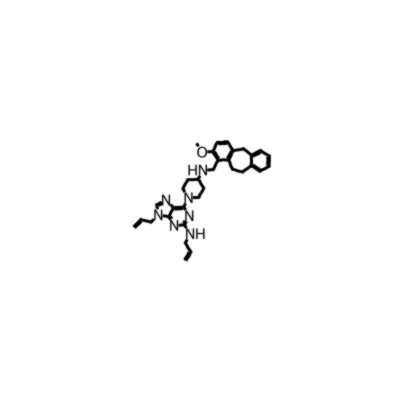 C=CCNc1nc(N2CCC(NCc3c(OC)ccc4c3CCc3ccccc3C4)CC2)c2ncn(CC=C)c2n1